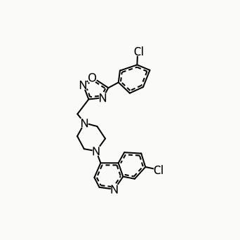 Clc1cccc(-c2nc(CN3CCN(c4ccnc5cc(Cl)ccc45)CC3)no2)c1